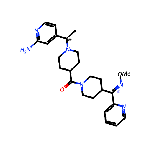 CO/N=C(/c1ccccn1)C1CCN(C(=O)C2CCN([C@H](C)c3ccnc(N)c3)CC2)CC1